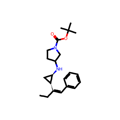 CCC(=Cc1ccccc1)[C@@H]1C[C@H]1NC1CCN(C(=O)OC(C)(C)C)C1